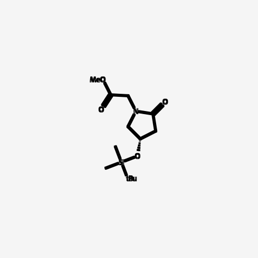 COC(=O)CN1C[C@@H](O[Si](C)(C)C(C)(C)C)CC1=O